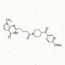 COc1ccc(C(=O)C2CCN(C(=O)CCCc3nc4c(ccn4C)c(=O)[nH]3)CC2)cn1